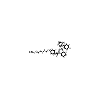 CCOC(=O)CCCCCOc1ccc(C(=O)Nc2ccccc2[S+]([O-])c2ccccc2-c2nnn[nH]2)cc1